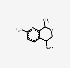 CNC1COC(C)c2nc(C(F)(F)F)ccc21